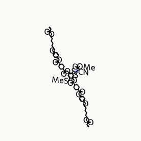 C=CC(=O)OCCCCCCOc1ccc(OC(=O)C2CCC(C(=O)Oc3cc(CSC)c(OC(=O)C4CCC(C(=O)Oc5ccc(OCCCCCCOC(=O)C=C)cc5)CC4)c4c3S/C(=C(/C#N)C(=O)OC)S4)CC2)cc1